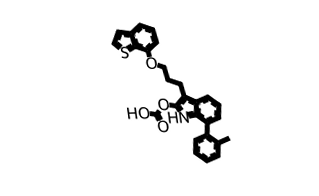 Cc1ccccc1-c1cccc2c(CCCOc3cccc4ccsc34)c(OC(=O)O)[nH]c12